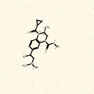 CCC(CN(C)C(C)(C)C)c1ccc2c(c1)N(C(=O)OC(C)C)C[C@H](C)N2C(=O)C1CC1